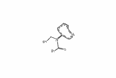 CC(C)CN(C(=O)C(C)C)c1cccnc1